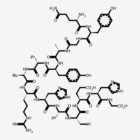 CC[C@H](C)[C@H](NC(=O)[C@@H](NC(=O)[C@H](Cc1ccc(O)cc1)NC(=O)[C@H](C)NC(=O)CNC(=O)[C@H](Cc1ccc(O)cc1)NC(=O)[C@@H](N)CCC(N)=O)C(C)C)C(=O)N[C@@H](CCCNC(=N)N)C(=O)N[C@@H](Cc1c[nH]cn1)C(=O)N[C@H](C(=O)N[C@@H](CC(C)C)C(=O)N[C@@H](CCC(=O)O)C(=O)N[C@@H](Cc1c[nH]cn1)C(=O)NCC(=O)O)C(C)C